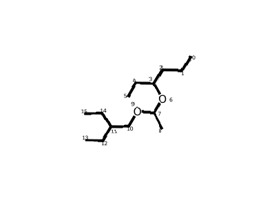 CCCC(CC)O[C](C)OCC(CC)CC